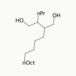 CCCCCCCCCCCCC(CO)C(CO)CCC